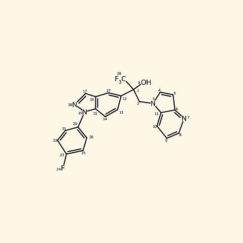 OC(Cn1ccc2ncccc21)(c1ccc2c(cnn2-c2ccc(F)cc2)c1)C(F)(F)F